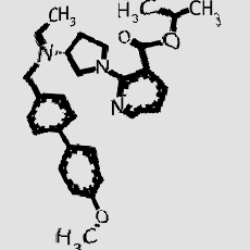 CCN(Cc1ccc(-c2ccc(OC)cc2)cc1)[C@@H]1CCN(c2ncccc2C(=O)OC(C)C)C1